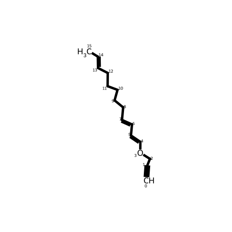 C#CCOC=CC=CCCCCCC=CC